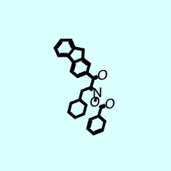 O=C(/C(CC1CCCCC1)=N/OC(=O)C1C=CC=CC1)c1ccc2c(c1)Cc1ccccc1-2